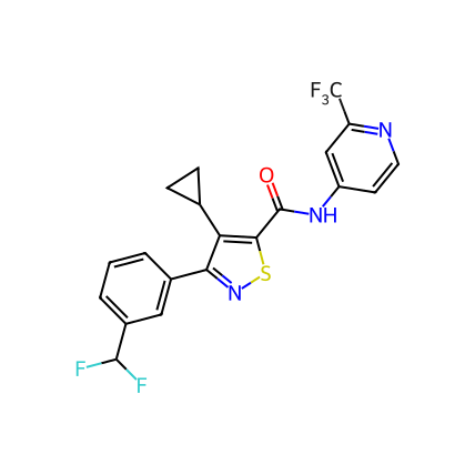 O=C(Nc1ccnc(C(F)(F)F)c1)c1snc(-c2cccc(C(F)F)c2)c1C1CC1